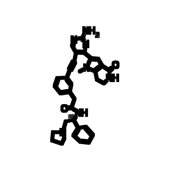 Cn1c(-c2nc(N)ncc2C#Cc2cccc(CC(=O)N[C@H](CN3CCCC3)c3ccccc3)c2)cc2c1CCNC2=O